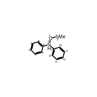 CSO[SiH](c1ccccc1)c1ccccc1